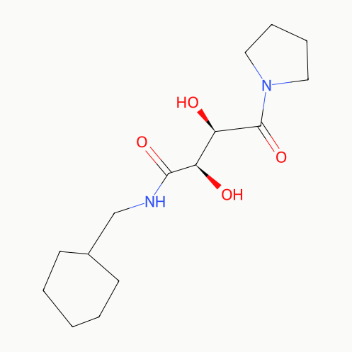 O=C(NCC1CCCCC1)[C@H](O)[C@@H](O)C(=O)N1CCCC1